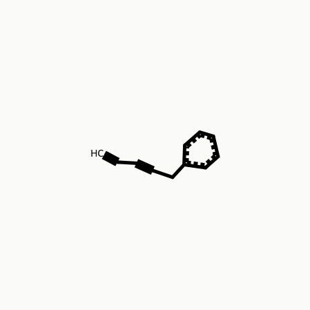 C#CC#CCc1ccccc1